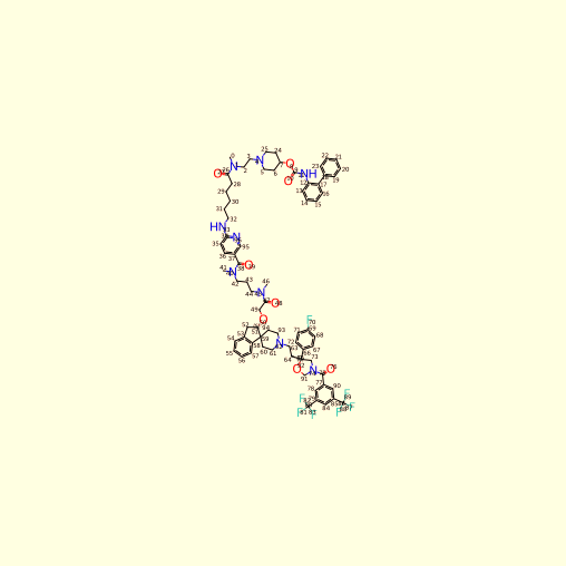 CN(CCN1CCC(OC(=O)Nc2ccccc2-c2ccccc2)CC1)C(=O)CCCCCNc1ccc(C(=O)N(C)CCCN(C)C(=O)CO[C@H]2Cc3ccccc3C23CCN(CC[C@@]2(c4ccc(F)cc4)CN(C(=O)c4cc(C(F)(F)F)cc(C(F)(F)F)c4)CO2)CC3)cn1